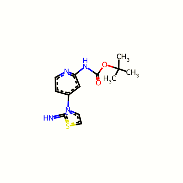 CC(C)(C)OC(=O)Nc1cc(-n2ccsc2=N)ccn1